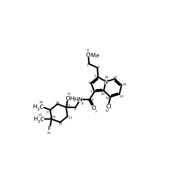 COCCc1cc(C(=O)NCC2(O)CCC(C)(F)C(C)C2)c2c(Cl)cccn12